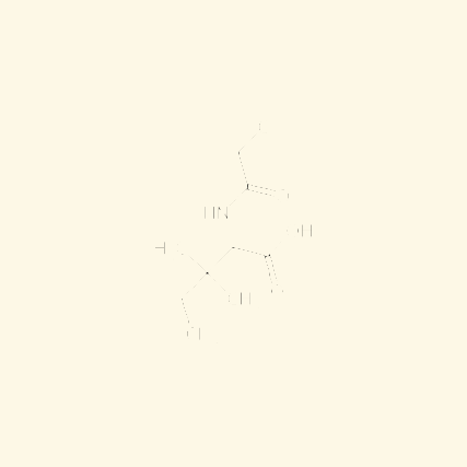 CCC(C)(C)[C@H](NC(=O)CCl)C(=O)O